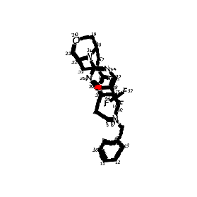 O=C(OC1CCN(Cc2ccccc2)CC1)N1CC2COCC(C1)N2c1ncc(C(F)(F)F)cn1